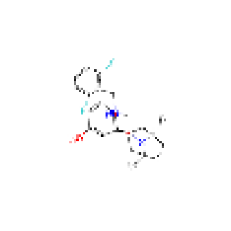 Oc1cccc([C@H]2C[C@H]3CC[C@@H](C2)N3CCNCc2c(F)cccc2F)c1